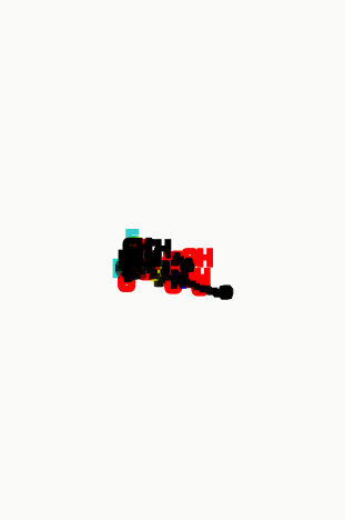 CCC(=O)O[C@]1(C(=O)SCF)[C@H](C)C[C@H]2[C@@H]3C[C@H](F)C4=CC(=O)C=C[C@]4(C)[C@@]3(C)[C@@H](OC(=O)OCCSSCCOC(=O)N(CCCCCOCCCCCc3ccccc3)CC(O)c3ccc(O)c(CO)c3)C[C@@]21C